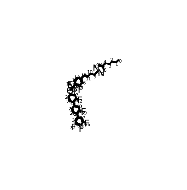 CCCCCc1cnc(CC/C=C/c2ccc(C(F)(F)Oc3ccc(-c4ccc(-c5cc(F)c(F)c(F)c5)c(F)c4)c(F)c3)c(F)c2)nc1